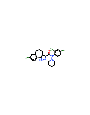 O=C(c1n[nH]c2c1CCCc1cc(Cl)ccc1-2)N(c1ccc(Cl)cc1Cl)N1CCCCC1